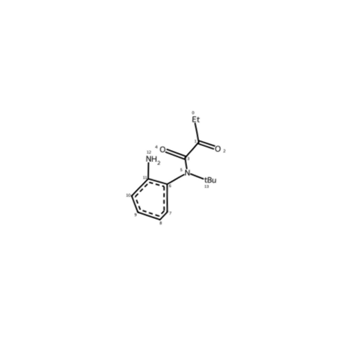 CCC(=O)C(=O)N(c1ccccc1N)C(C)(C)C